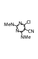 CNc1nc(Cl)c(C#N)c(NC)n1